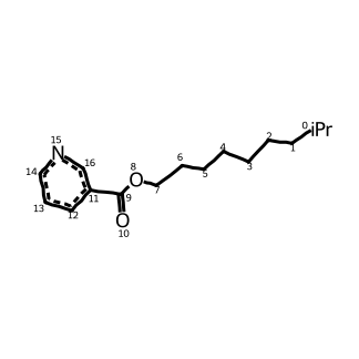 CC(C)CCCCCCCOC(=O)c1cccnc1